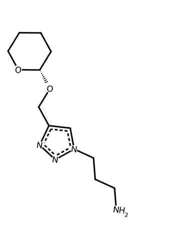 NCCCn1cc(CO[C@H]2CCCCO2)nn1